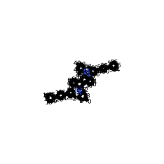 Cc1ccc(N(c2ccc(-c3ccc(-c4ccccc4)cc3)cc2C)c2cc3c4ccccc4c(N(c4ccc(C)cc4C)c4ccc(-c5ccc(-c6ccccc6)cc5)cc4C)cc3c3ccccc23)c(C)c1